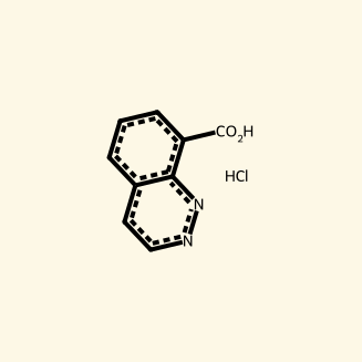 Cl.O=C(O)c1cccc2ccnnc12